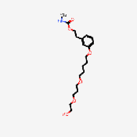 CC(C)(C)NC(=O)OCCc1cccc(OCCCCCOCCCOCCO)c1